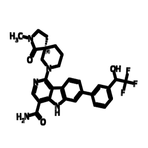 CN1CC[C@@]2(CCCN(c3ncc(C(N)=O)c4[nH]c5cc(-c6cccc(C(O)C(F)(F)F)c6)ccc5c34)C2)C1=O